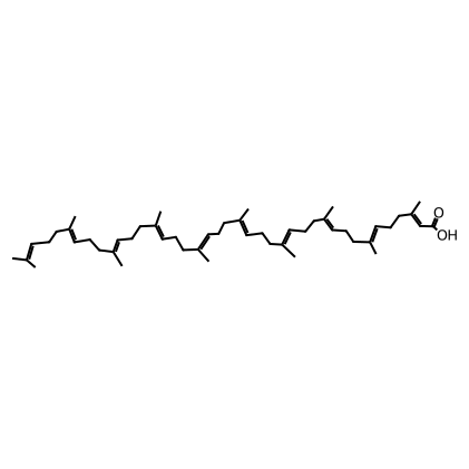 CC(C)=CCCC(C)=CCCC(C)=CCCC(C)=CCCC(C)=CCCC(C)=CCCC(C)=CCCC(C)=CCCC(C)=CCCC(C)=CC(=O)O